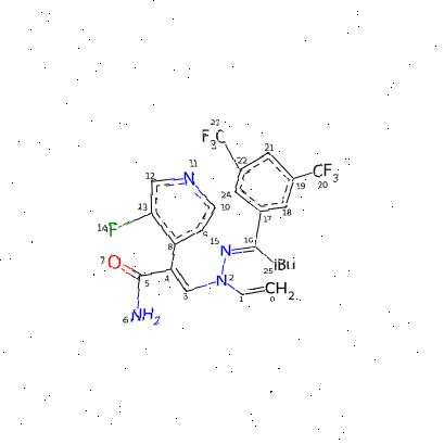 C=CN(/C=C(/C(N)=O)c1ccncc1F)/N=C(/c1cc(C(F)(F)F)cc(C(F)(F)F)c1)C(C)CC